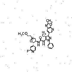 COCCN1C[C@@H](NC(=O)Nc2c(C)c(-c3cnc4oc(C)nc4c3)nn2-c2ccccc2)[C@H](c2ccnc(F)c2)O1